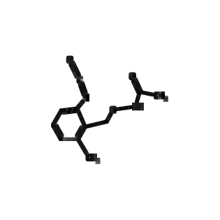 CC(=O)NOCc1c(C)cccc1N=C=O